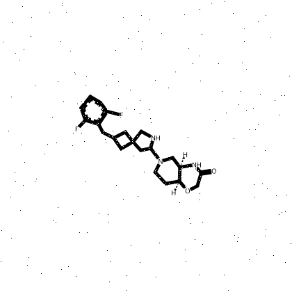 O=C1CO[C@H]2CCN(C3CC4(CN3)CC(Cc3c(F)cccc3F)C4)C[C@H]2N1